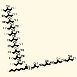 CCCCCCCC(=O)O.OCC(O)CO.OCC(O)CO.OCC(O)CO.OCC(O)CO.OCC(O)CO.OCC(O)CO.OCC(O)CO.OCC(O)CO.OCC(O)CO.OCC(O)CO.OCC(O)CO.OCC(O)CO.OCC(O)CO.OCC(O)CO